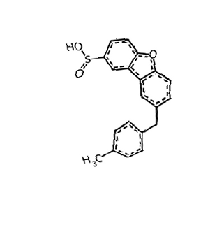 Cc1ccc(Cc2ccc3oc4ccc(S(=O)O)cc4c3c2)cc1